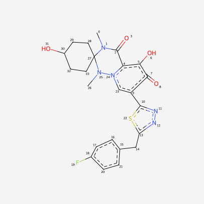 CN1C(=O)c2c(O)c(=O)c(-c3nnc(Cc4ccc(F)cc4)s3)cn2N(C)C12CCC(O)CC2